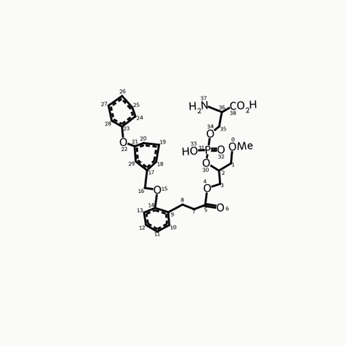 COCC(COC(=O)CCc1ccccc1OCc1cccc(Oc2ccccc2)c1)OP(=O)(O)OCC(N)C(=O)O